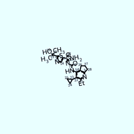 CCc1nc2c(c(NC(=O)N=[S@@](N)(=O)c3cnc(C(C)(C)O)s3)c1C1CC1)CCC2